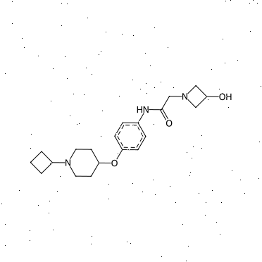 O=C(CN1CC(O)C1)Nc1ccc(OC2CCN(C3CCC3)CC2)cc1